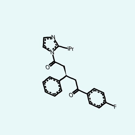 CC(C)c1nccn1C(=O)C[C@@H](CC(=O)c1ccc(F)cc1)c1ccccc1